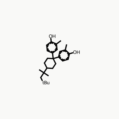 Cc1cc(C2(c3ccc(O)c(C)c3)CCC(C(C)(C)CC(C)(C)C)CC2)ccc1O